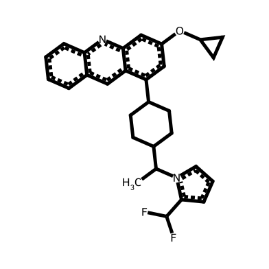 CC(C1CCC(c2cc(OC3CC3)cc3nc4ccccc4cc23)CC1)n1cccc1C(F)F